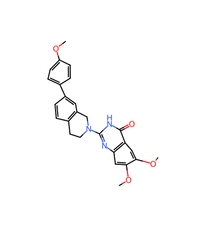 COc1ccc(-c2ccc3c(c2)CN(c2nc4cc(OC)c(OC)cc4c(=O)[nH]2)CC3)cc1